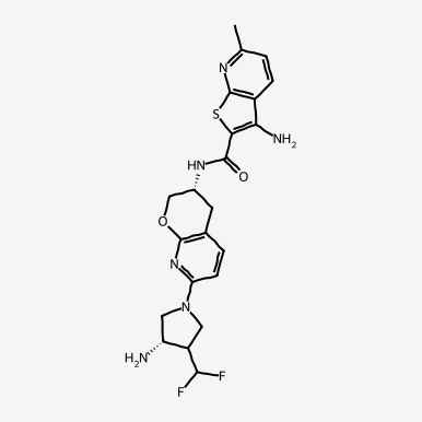 Cc1ccc2c(N)c(C(=O)N[C@H]3COc4nc(N5CC(C(F)F)[C@H](N)C5)ccc4C3)sc2n1